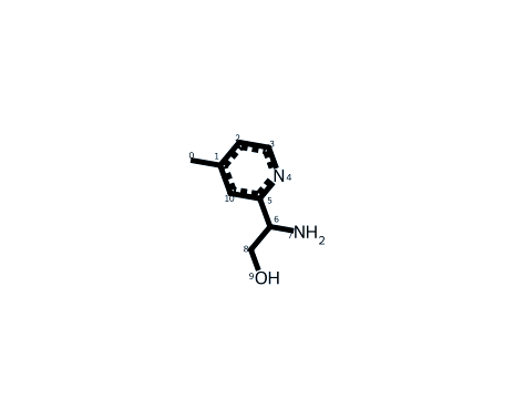 Cc1ccnc(C(N)CO)c1